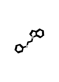 [c]1cn(CCSc2ccccc2)c2ccccc12